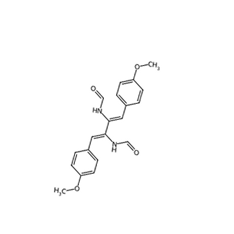 COc1ccc(/C=C(NC=O)/C(=C/c2ccc(OC)cc2)NC=O)cc1